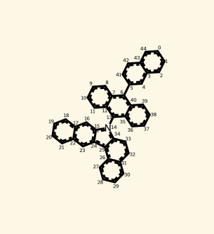 c1ccc2cc(-c3c4ccccc4c(-n4c5cc6ccccc6cc5c5c6ccccc6ccc54)c4ccccc34)ccc2c1